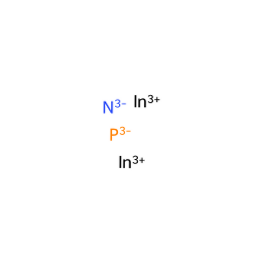 [In+3].[In+3].[N-3].[P-3]